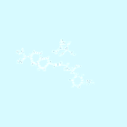 N=C(N)c1ccc2cc(C#CCNC(=O)c3cccc(N)c3)ccc2c1.O=C(O)C(F)(F)F